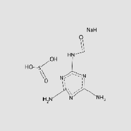 Nc1nc(N)nc(NC=O)n1.O=S(O)O.[NaH]